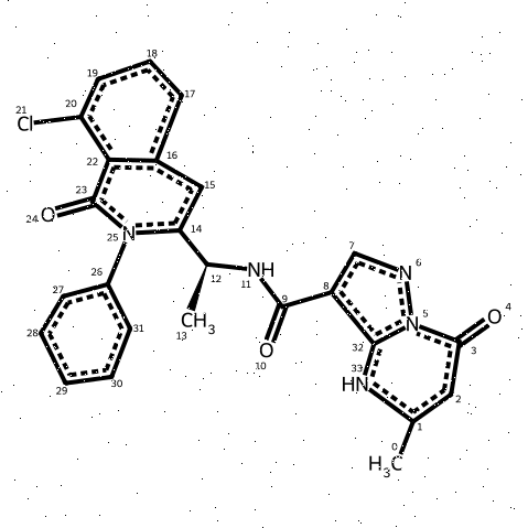 Cc1cc(=O)n2ncc(C(=O)N[C@@H](C)c3cc4cccc(Cl)c4c(=O)n3-c3ccccc3)c2[nH]1